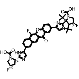 CC(C)(C)C1[C@H](F)CN(C(=O)O)[C@]1(c1ncc(-c2ccc3oc4c(F)c5ccc(-c6cnc([C@@H]7C[C@H](F)CN7C(=O)O)[nH]6)cc5cc4c(=O)c3c2)[nH]1)C(C)(C)C